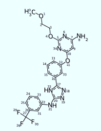 COCCOc1nc(N)cc(Oc2cccc(-c3nnc(Nc4cccc(C(F)(F)F)c4)[nH]3)c2)n1